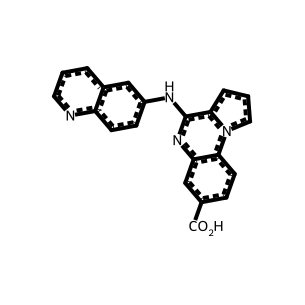 O=C(O)c1ccc2c(c1)nc(Nc1ccc3ncccc3c1)c1cccn12